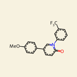 COc1ccc(-c2ccc(=O)n(-c3cccc(C(F)(F)F)c3)c2)cc1